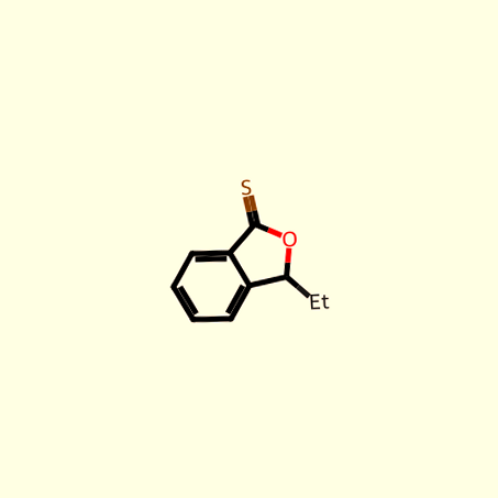 CCC1OC(=S)c2ccccc21